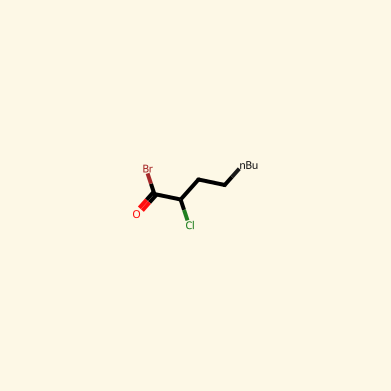 CCCCCCC(Cl)C(=O)Br